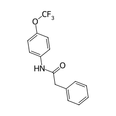 O=C(Cc1ccccc1)Nc1ccc(OC(F)(F)F)cc1